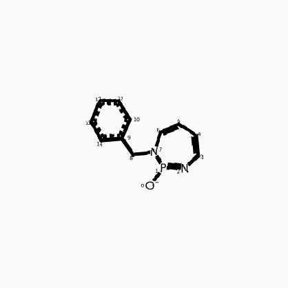 [O-][P+]1=NC=CC=CN1Cc1ccccc1